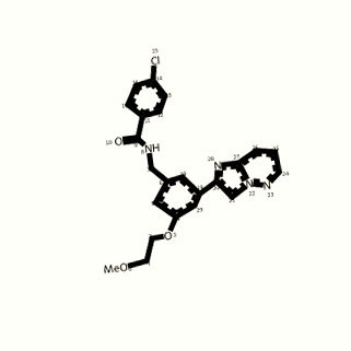 COCCOc1cc(CNC(=O)c2ccc(Cl)cc2)cc(-c2cn3ncccc3n2)c1